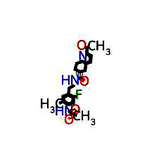 CC(=O)c1ccc2c(n1)CC[C@@H](C(=O)NCCc1cc(C)c(NS(C)(=O)=O)cc1F)C2